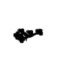 O=C(OCC(CCCCCCNC(c1ccccc1)(c1ccccc1)c1ccccc1)COCOCC(CCCCCCNC(c1ccccc1)(c1ccccc1)c1ccccc1)COCOCC(CCCCCCNC(c1ccccc1)(c1ccccc1)c1ccccc1)COC(=O)c1ccccc1)c1ccccc1